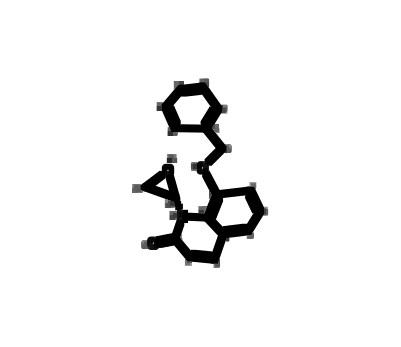 O=c1ccc2cccc(OCc3ccccc3)c2n1[C@@H]1CO1